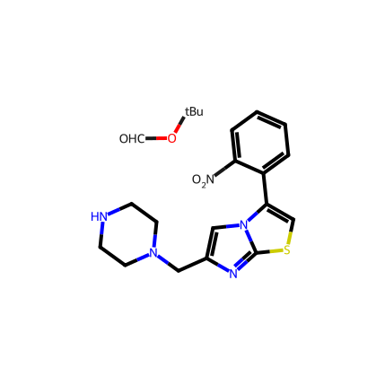 CC(C)(C)OC=O.O=[N+]([O-])c1ccccc1-c1csc2nc(CN3CCNCC3)cn12